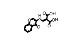 O=C(O)C(=CNc1coc2ccccc2c1=O)C(=O)O